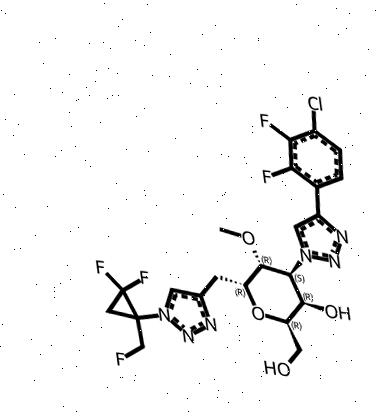 CO[C@@H]1[C@@H](n2cc(-c3ccc(Cl)c(F)c3F)nn2)[C@@H](O)[C@@H](CO)O[C@@H]1Cc1cn(C2(CF)CC2(F)F)nn1